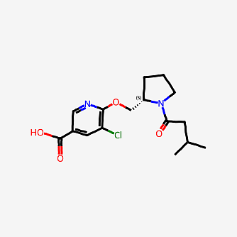 CC(C)CC(=O)N1CCC[C@H]1COc1ncc(C(=O)O)cc1Cl